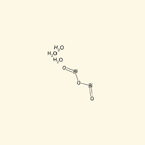 O.O.O.[O]=[Bi][O][Bi]=[O]